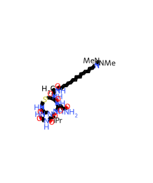 CNC(=NCCCCCCCCCCCCCCCCC(=O)NC(C)C(=O)NC1CCS/C=C\NC(=O)C2CN(C(=O)NC(=O)C(CCC(N)=O)NC1=O)C(CC(C)C)C(=O)NCC(=O)N2)NC